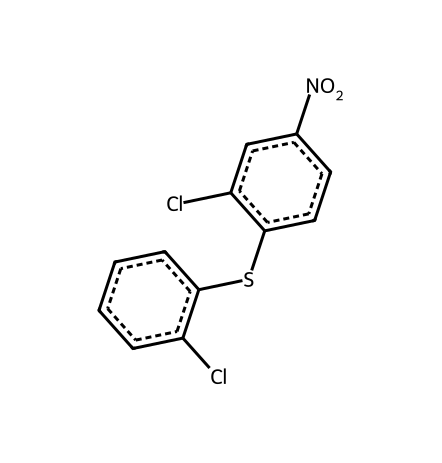 O=[N+]([O-])c1ccc(Sc2ccccc2Cl)c(Cl)c1